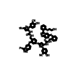 CC(C)(C)c1cc(NC(=O)NCc2ccccc2Sc2ccc3nnc(-c4ccccc4SCCO)n3c2)n(-c2ccc(O)c(C#N)c2)n1.CC(C)c1nnc2ccc(Sc3ccccc3CNC(=O)Nc3cc(C(C)(C)C)nn3-c3ccc(O)c(C#N)c3)cn12